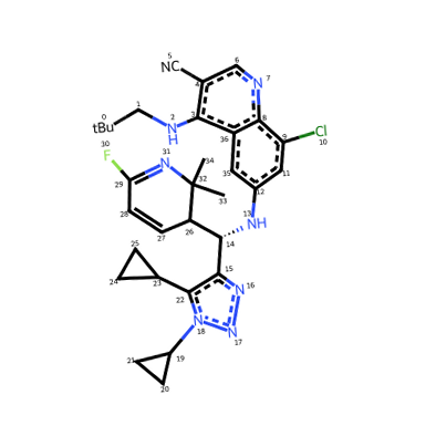 CC(C)(C)CNc1c(C#N)cnc2c(Cl)cc(N[C@H](c3nnn(C4CC4)c3C3CC3)C3C=CC(F)=NC3(C)C)cc12